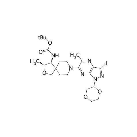 Cc1nc2c(I)nn(C3COCCO3)c2nc1N1CCC2(CC1)CO[C@@H](C)[C@H]2NC(=O)OC(C)(C)C